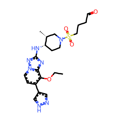 CCOc1c(-c2cn[nH]c2)ccn2nc(N[C@H]3CCN(S(=O)(=O)CCCC=O)C[C@H]3C)nc12